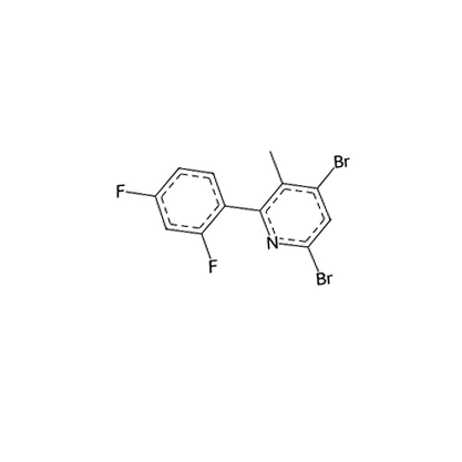 Cc1c(Br)cc(Br)nc1-c1ccc(F)cc1F